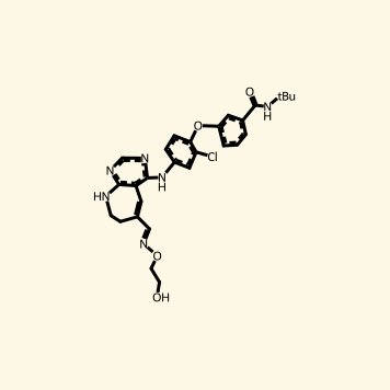 CC(C)(C)NC(=O)c1cccc(Oc2ccc(Nc3ncnc4c3C=C(C=NOCCO)CCN4)cc2Cl)c1